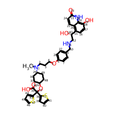 CN(CCCOc1ccc(CNC[C@H](O)c2ccc(O)c3[nH]c(=O)ccc23)cc1)[C@H]1CC[C@H](OC(C(=O)O)(c2cccs2)c2cccs2)CC1